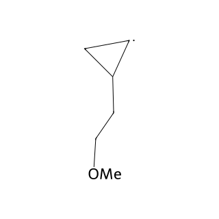 COCCC1[CH]C1